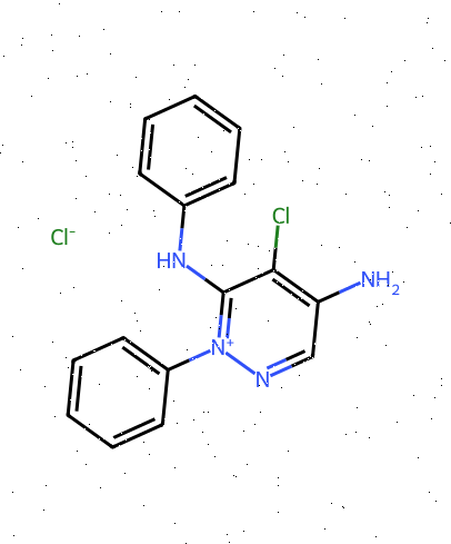 Nc1cn[n+](-c2ccccc2)c(Nc2ccccc2)c1Cl.[Cl-]